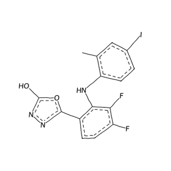 Cc1cc(I)ccc1Nc1c(-c2nnc(O)o2)ccc(F)c1F